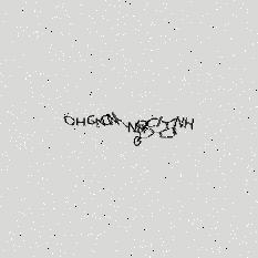 O=CCN1CCN(CCNC=C2C(=O)CC(c3cccc4[nH]cc(Cl)c34)CC2=O)CC1